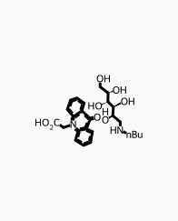 CCCCNC[C@@H](O)[C@H](O)[C@H](O)[C@@H](O)CO.O=C(O)Cn1c2ccccc2c(=O)c2ccccc21